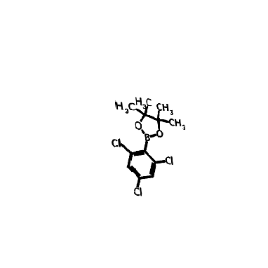 CC1(C)OB(c2c(Cl)cc(Cl)cc2Cl)OC1(C)C